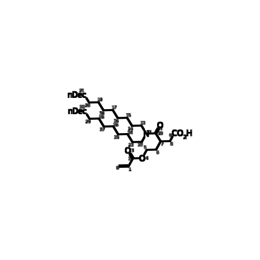 C=CC(=O)OCCC(CC(=O)O)C(=O)N(CCCCCCCCCCCCCCCCCC)CCCCCCCCCCCCCCCCCC